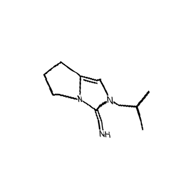 CC(C)n1cc2n(c1=N)CCC2